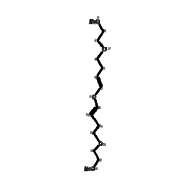 COCCOCCC=COC=CCCOCCOC